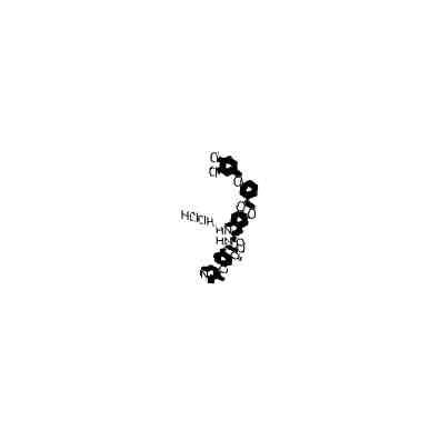 COC(=O)[C@H](Cc1ccc(Oc2ccnc(C)c2C)cc1)NC(=O)[C@@H]1Cc2cc3c(cc2CN1)O[C@@H](c1cccc(OCc2ccc(Cl)c(Cl)c2)c1)CO3.Cl.Cl